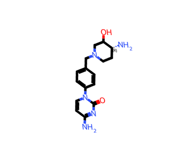 Nc1ccn(-c2ccc(CN3CC[C@@H](N)C(O)C3)cc2)c(=O)n1